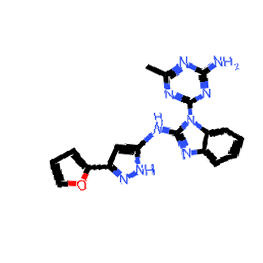 Cc1nc(N)nc(-n2c(Nc3cc(-c4ccco4)n[nH]3)nc3ccccc32)n1